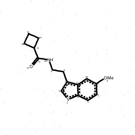 COc1ccc2scc(CCNC(=O)C3CCC3)c2c1